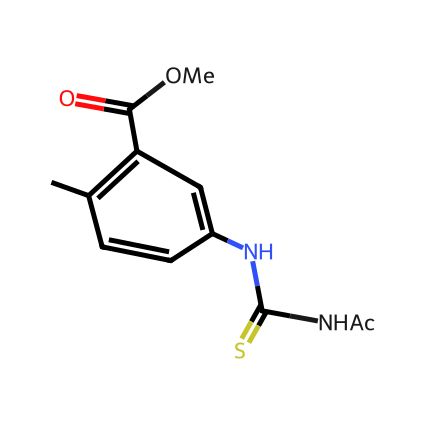 COC(=O)c1cc(NC(=S)NC(C)=O)ccc1C